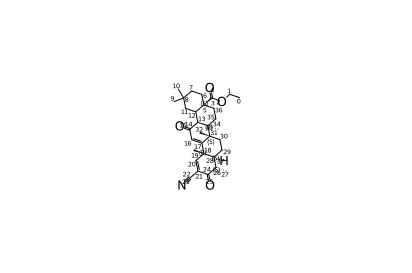 CCOC(=O)[C@]12CCC(C)(C)CC1C1C(=O)C=C3[C@@]4(C)C=C(C#N)C(=O)[C@@H](C)[C@@H]4CC[C@@]3(C)[C@]1(C)CC2